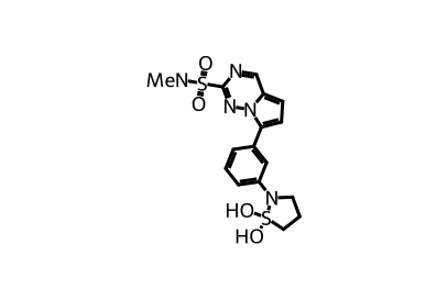 CNS(=O)(=O)c1ncc2ccc(-c3cccc(N4CCCS4(O)O)c3)n2n1